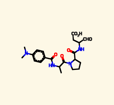 CC(NC(=O)c1ccc(N(C)C)cc1)C(=O)N1CCCC1C(=O)NC(C=O)CC(=O)O